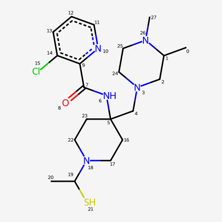 CC1CN(CC2(NC(=O)c3ncccc3Cl)CCN(C(C)S)CC2)CCN1C